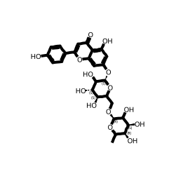 CC1O[C@@H](OCC2O[C@@H](Oc3cc(O)c4c(=O)cc(-c5ccc(O)cc5)oc4c3)C(O)[C@@H](O)[C@@H]2O)C(O)[C@@H](O)[C@H]1O